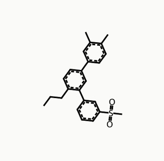 CCCc1ccc(-c2ccc(C)c(C)c2)cc1-c1cccc(S(C)(=O)=O)c1